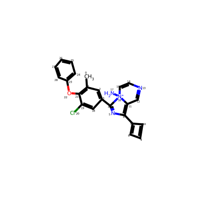 Cc1cc(C2=NC(C3=CC=C3)=C3C=NC=C[N+]23N)cc(Cl)c1Oc1ccccc1